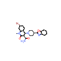 Cn1c(=O)c(C(N)=O)c(N2CCC(c3nc4ccccc4o3)CC2)c2ccc(Br)cc21